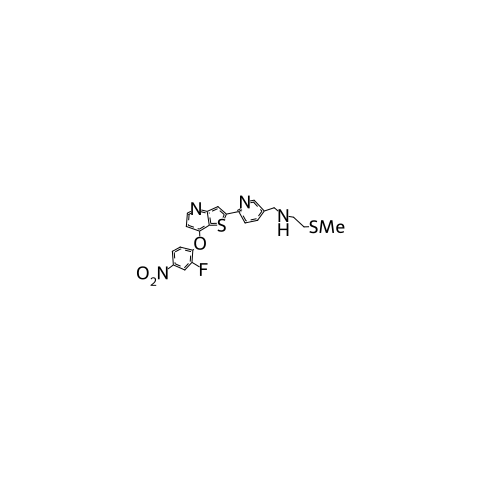 CSCCNCc1ccc(-c2cc3nccc(Oc4ccc([N+](=O)[O-])cc4F)c3s2)nc1